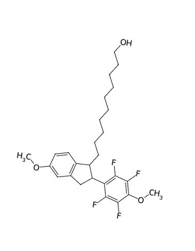 COc1ccc2c(c1)CC(c1c(F)c(F)c(OC)c(F)c1F)C2CCCCCCCCCCO